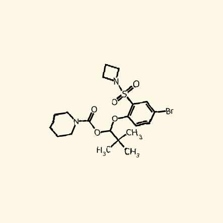 CC(C)(C)C(OC(=O)N1CCCCC1)Oc1ccc(Br)cc1S(=O)(=O)N1CCC1